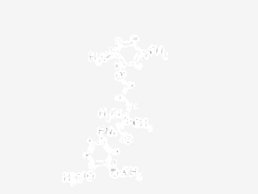 COc1ccc(NC(=O)C(C)(C)CCCOc2cc(C)ccc2C)cc1OC